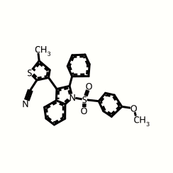 COc1ccc(S(=O)(=O)n2c(-c3ccccc3)c(-c3cc(C)sc3C#N)c3ccccc32)cc1